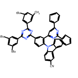 Cc1cc(-c2nc(-c3cc(C(C)(C)C)cc(C(C)(C)C)c3)nc(-c3ccc(-n4c5ccccc5c5cc(C#N)ccc54)c(-c4cc(-c5ccccc5)nc(-c5ccccc5)n4)c3)n2)cc(C(C)(C)C)c1